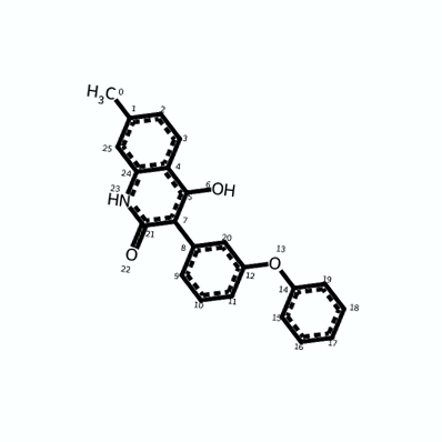 Cc1ccc2c(O)c(-c3cccc(Oc4ccccc4)c3)c(=O)[nH]c2c1